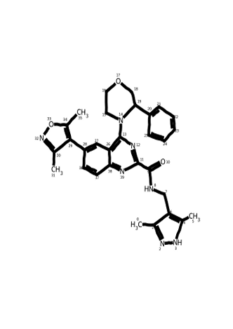 Cc1n[nH]c(C)c1CNC(=O)c1nc(N2CCOCC2c2ccccc2)c2cc(-c3c(C)noc3C)ccc2n1